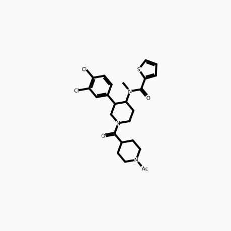 CC(=O)N1CCC(C(=O)N2CCC(N(C)C(=O)c3cccs3)C(c3ccc(Cl)c(Cl)c3)C2)CC1